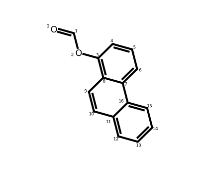 O=COc1cccc2c1ccc1ccccc12